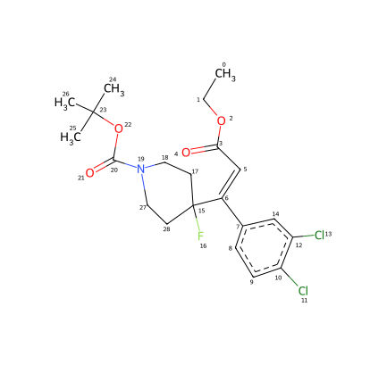 CCOC(=O)C=C(c1ccc(Cl)c(Cl)c1)C1(F)CCN(C(=O)OC(C)(C)C)CC1